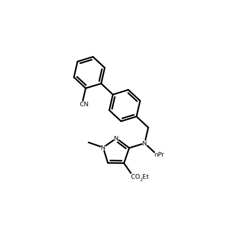 CCCN(Cc1ccc(-c2ccccc2C#N)cc1)c1nn(C)cc1C(=O)OCC